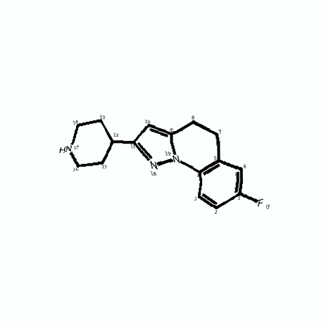 Fc1ccc2c(c1)CCc1cc(C3CCNCC3)nn1-2